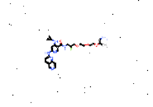 CC(CN)OCCOCCOCC(F)CNC(=O)c1cnc(Nc2ccc3cnccc3n2)cc1NC1CC1